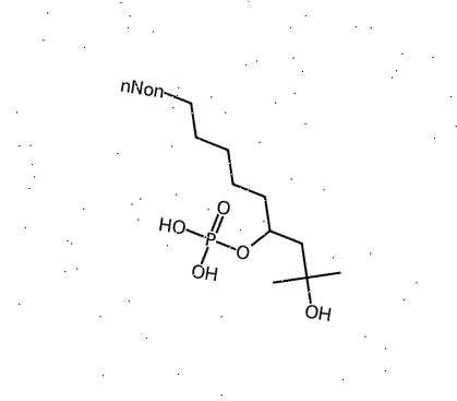 CCCCCCCCCCCCCCC(CC(C)(C)O)OP(=O)(O)O